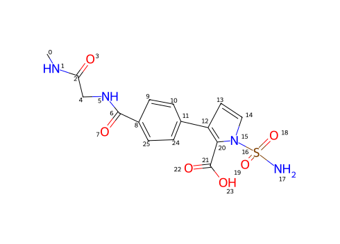 CNC(=O)CNC(=O)c1ccc(-c2ccn(S(N)(=O)=O)c2C(=O)O)cc1